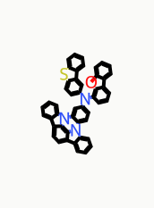 c1ccc2c(c1)oc1c(N(c3ccc4sc5ccccc5c4c3)c3ccc4c(c3)n3c5ccccc5c5ccc6c7ccccc7n4c6c53)cccc12